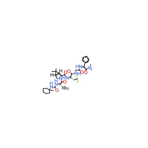 CN(C)C(=O)[C@@H](NC(=O)CNC(=O)[C@H](CC(F)F)NC(=O)[C@@H]1[C@@H]2[C@H](CN1C(=O)[C@@H](NC(=O)NC1(C)CCCCC1)C(C)(C)C)C2(C)C)c1ccccc1